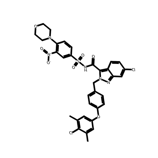 Cc1cc(Oc2ccc(Cn3nc4cc(Cl)ccc4c3C(=O)NS(=O)(=O)c3ccc(N4CCOCC4)c([N+](=O)[O-])c3)cc2)cc(C)c1Cl